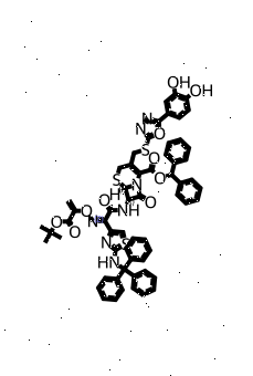 C=C(O/N=C(\C(=O)N[C@@H]1C(=O)N2C(C(=O)OC(c3ccccc3)c3ccccc3)=C(CSc3nnc(-c4ccc(O)c(O)c4)o3)CS[C@H]12)c1csc(NC(c2ccccc2)(c2ccccc2)c2ccccc2)n1)C(=O)OC(C)(C)C